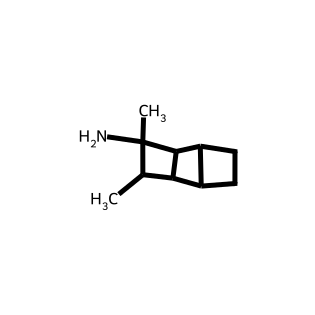 CC1C2C3CCC3C2C1(C)N